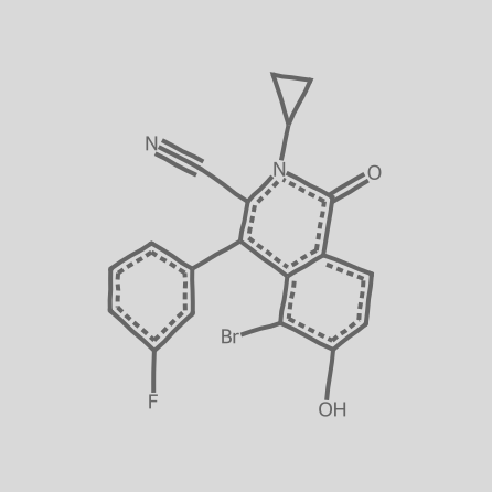 N#Cc1c(-c2cccc(F)c2)c2c(Br)c(O)ccc2c(=O)n1C1CC1